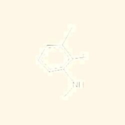 CNc1cccc(C)c1F